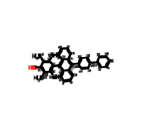 Bc1c(B)c(-c2c3ccccc3c(-c3ccc(-c4ccccc4)cc3)c3ccccc23)c(B)c(B)c1O